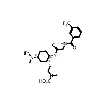 CC(C)N(C)[C@@H]1CC[C@H](NC(=O)CNC(=O)c2cccc(C(F)(F)F)c2)[C@H](CCN(C)C(=O)O)C1